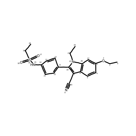 CCOc1ccc2c(C#N)c(-c3ccc(NS(=O)(=O)CC)cc3)n(CC)c2c1